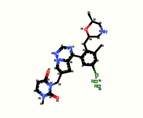 Cc1cc(Cl)cc(-c2ncnn3cc(Cn4c(=O)ccn(C)c4=O)cc23)c1CC1CNC[C@H](C)O1.Cl.Cl